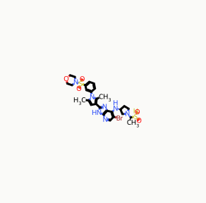 Cc1cc(-c2nc3c(N[C@H]4CCN([C@H](C)[SH](=O)=O)C4)c(Br)cnc3[nH]2)c(C)n1-c1cccc(S(=O)(=O)N2CCOCC2)c1